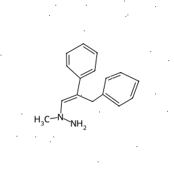 CN(N)/C=C(\Cc1ccccc1)c1ccccc1